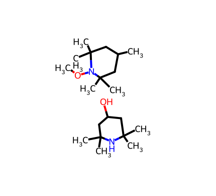 CC1(C)CC(O)CC(C)(C)N1.CON1C(C)(C)CC(C)CC1(C)C